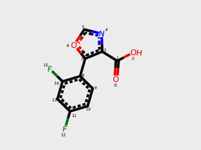 O=C(O)c1ncoc1-c1ccc(F)cc1F